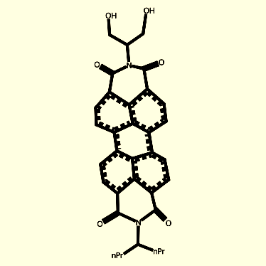 CCCC(CCC)N1C(=O)c2ccc3c4ccc5c6c(ccc(c7ccc(c2c37)C1=O)c64)C(=O)N(C(CO)CO)C5=O